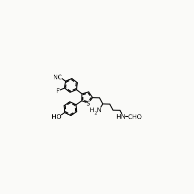 N#Cc1ccc(-c2cc(CC(N)CCCNC=O)sc2-c2ccc(O)cc2)cc1F